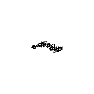 Cc1c(NC(=O)c2nc3c(n2C)CCN(CCC24CCC(C)(CC2)C4)C3)cccc1-c1cccc(NC(=O)c2nc3c(n2C)CCN(C)C3)c1Cl